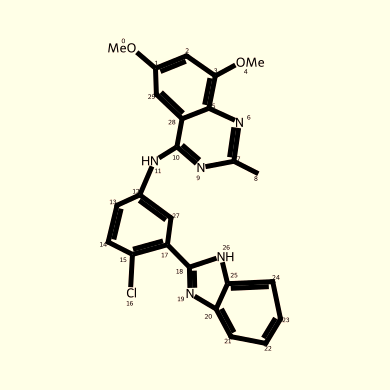 COc1cc(OC)c2nc(C)nc(Nc3ccc(Cl)c(-c4nc5ccccc5[nH]4)c3)c2c1